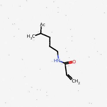 C=CC(=O)NCCCC(C)C(C)=O